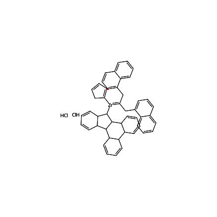 C1=CC[C]([Zr](=[C](Cc2cccc3ccccc23)Cc2cccc3ccccc23)[CH]2C3C=CC=CC3C3C4C=CC=CC4C4C=CC=CC4C32)=C1.Cl.Cl